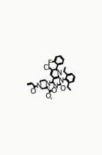 C=CC(=O)N1CCN(c2nc(=O)n(-c3c(CC)cccc3CC)c3nc(-c4ccccc4F)c(Cl)cc23)[C@@H](C(=O)OC)C1